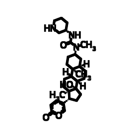 CN(C(=O)N[C@H]1CCCNC1)[C@H]1CC[C@@]2(C)[C@H](CC[C@@H]3[C@@H]2CC[C@]2(C)[C@@H](c4ccc(=O)oc4)CC[C@]32O)C1